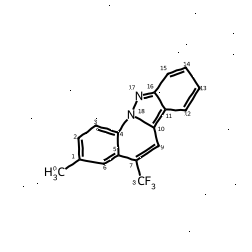 Cc1ccc2c(c1)c(C(F)(F)F)cc1c3ccccc3nn21